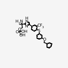 C[C@](N)(COP(=O)(O)O)c1nc(-c2ccc(Sc3cccc(OCc4ccccc4)c3)c(C(F)(F)F)c2)c[nH]1